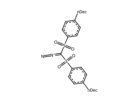 CCCCCCCCCCc1ccc(S(=O)(=O)C(=[N+]=[N-])S(=O)(=O)c2ccc(CCCCCCCCCC)cc2)cc1